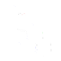 NC(=O)Oc1cnn(-c2ncccc2Cl)c1N